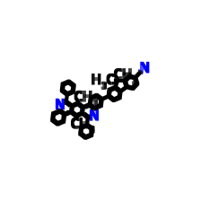 Cc1c2c(-c3ccccc3)nc3cc(-c4ccc5c(c4)C(C)(C)c4cc(C#N)ccc4-5)ccc3c2c(C)c2c(-c3ccccc3)nc3ccccc3c12